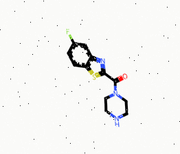 O=C(c1nc2cc(F)ccc2s1)N1CCNCC1